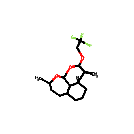 CC1CCC2CCC[C@H]3C(C)C(OCC(F)(F)F)OC(O1)C23